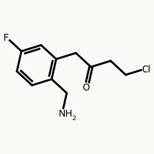 NCc1ccc(F)cc1CC(=O)CCCl